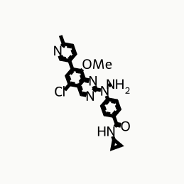 COc1c(-c2ccc(C)nc2)cc(Cl)c2cnc(N(N)c3ccc(C(=O)NC4CC4)cc3)nc12